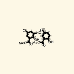 COC(=O)c1cc(Cl)cc([N+](=O)[O-])c1O.COC(=O)c1cc(Cl)ccc1O